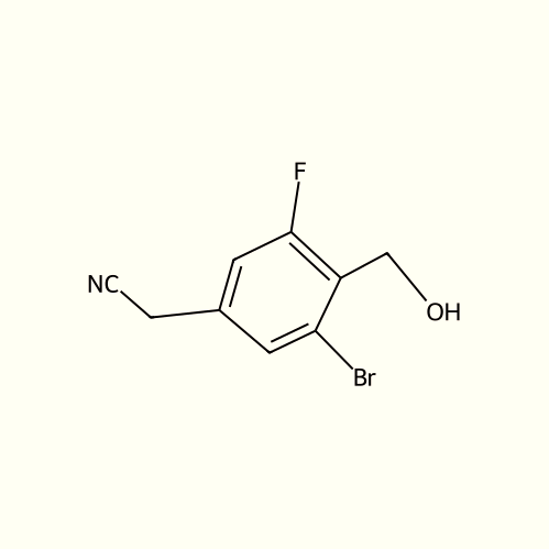 N#CCc1cc(F)c(CO)c(Br)c1